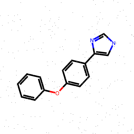 C1=NC(c2ccc(Oc3ccccc3)cc2)=C[N]1